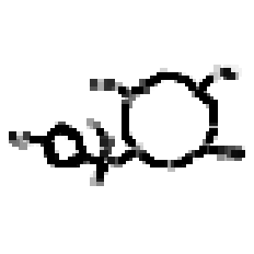 CCOP(=O)(CN1CCCN(C=O)CCN(C=O)CCCN(C=O)CC1)c1ccc([N+](=O)[O-])cc1